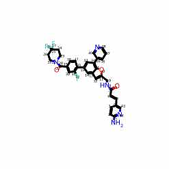 Nc1ccc(C=CC(=O)NCc2cc3cc(-c4ccc(C(=O)N5CCC(F)(F)CC5)cc4F)cc(-c4cccnc4)c3o2)cn1